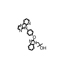 CC(C)(O)Cn1c(Oc2ccc(-n3c4ncccc4n4ccnc34)cc2)nc2ccccc21